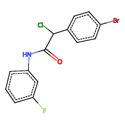 O=C(Nc1cccc(F)c1)C(Cl)c1ccc(Br)cc1